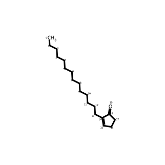 CCCCCCCCCCCCCCC1=CCCC1=O